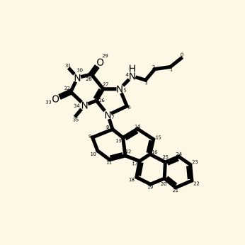 CCCCNN1CN(C2CCC=c3c2ccc2c3=CCc3ccccc3-2)c2c1c(=O)n(C)c(=O)n2C